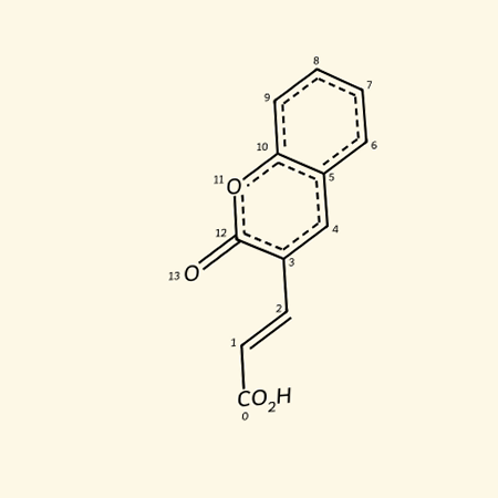 O=C(O)/C=C/c1cc2ccccc2oc1=O